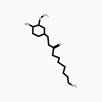 CCCCCCCCC(=O)CCC1CCC(O)C(OC)C1